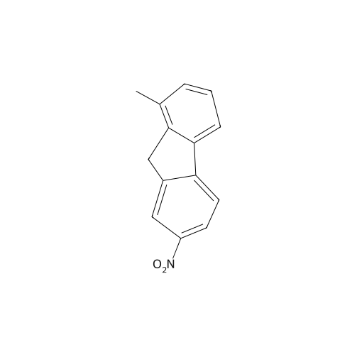 Cc1cccc2c1Cc1cc([N+](=O)[O-])ccc1-2